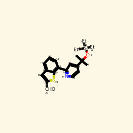 CC[Si](CC)(CC)OC(C)(C)c1ccnc(-c2cccc3cc(C=O)sc23)c1